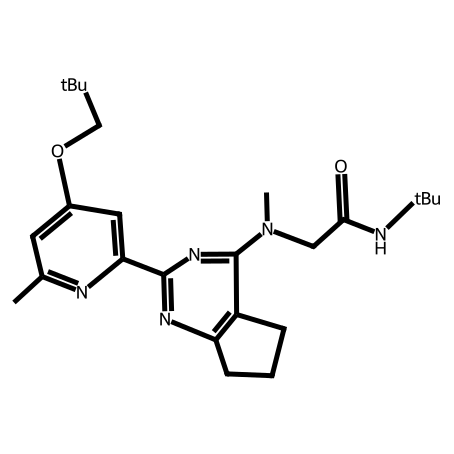 Cc1cc(OCC(C)(C)C)cc(-c2nc3c(c(N(C)CC(=O)NC(C)(C)C)n2)CCC3)n1